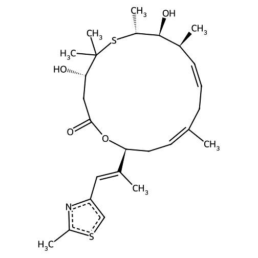 C/C1=C/C[C@@H](/C(C)=C/c2csc(C)n2)OC(=O)C[C@H](O)C(C)(C)S[C@H](C)[C@@H](O)[C@@H](C)/C=C\C1